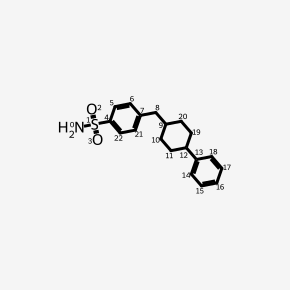 NS(=O)(=O)c1ccc(CC2CCC(c3ccccc3)CC2)cc1